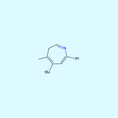 CC1=C(C(C)(C)C)C=C(C(C)C)N=CC1